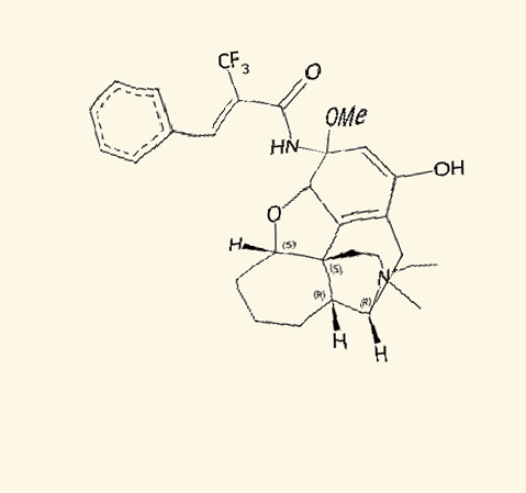 COC1(NC(=O)C(=Cc2ccccc2)C(F)(F)F)C=C(O)C2=C3C1O[C@H]1CCC[C@H]4[C@@H](C2)[N+](C)(C)CC[C@]314